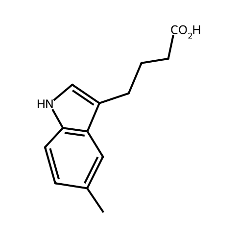 Cc1ccc2[nH]cc(CCCC(=O)O)c2c1